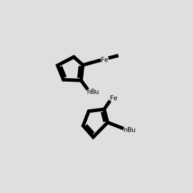 CCCCC1=[C]([Fe])CC=C1.CCCCC1=[C]([Fe][CH3])CC=C1